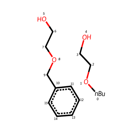 CCCCOCCO.OCCOCc1ccccc1